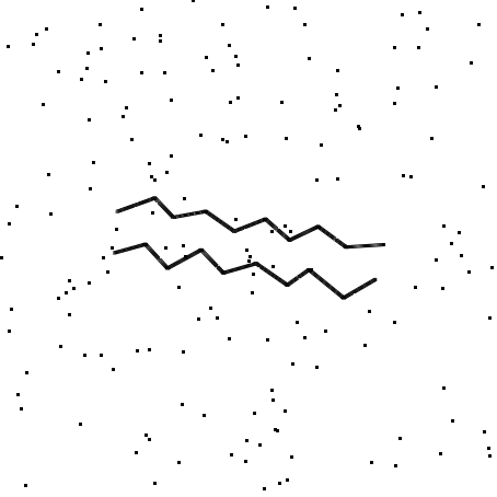 CCCCCCCCCC.CCCCCCCCCC